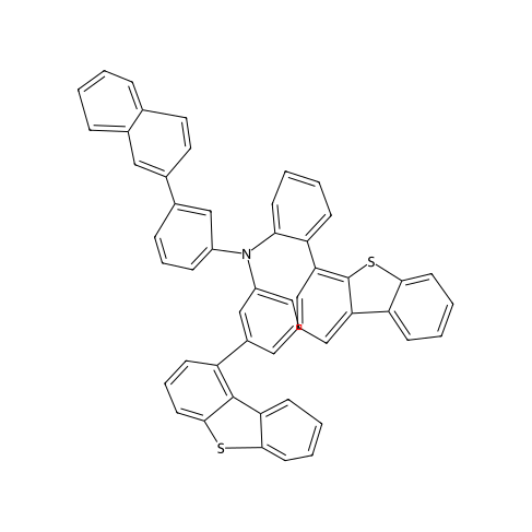 c1cc(-c2ccc3ccccc3c2)cc(N(c2cccc(-c3cccc4sc5ccccc5c34)c2)c2ccccc2-c2cccc3c2sc2ccccc23)c1